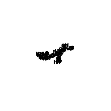 COc1ccc(CN2CCN(C3CC4(CCN(c5cc(Oc6cnc7[nH]ccc7c6)c(C(=O)NS(=O)(=O)c6ccc(NCC7CCOCC7)c([N+](=O)[O-])c6)cc5F)CC4)C3)[C@H](c3ccccc3C(C)C)C2)cc1